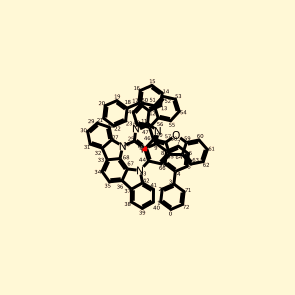 c1ccc(-c2cccc(-c3nc(-c4ccccc4-c4ccccc4)nc(-n4c5ccccc5c5ccc6c7ccccc7n(-c7cc(-c8cccc9ccccc89)c8oc9ccccc9c8c7)c6c54)n3)c2)cc1